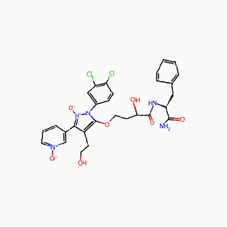 NC(=O)[C@H](Cc1ccccc1)NC(=O)C(O)CCOc1c(CCO)c(-c2ccc[n+]([O-])c2)[n+]([O-])n1-c1ccc(Cl)c(Cl)c1